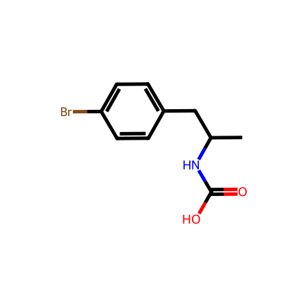 CC(Cc1ccc(Br)cc1)NC(=O)O